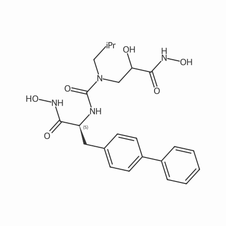 CC(C)CN(CC(O)C(=O)NO)C(=O)N[C@@H](Cc1ccc(-c2ccccc2)cc1)C(=O)NO